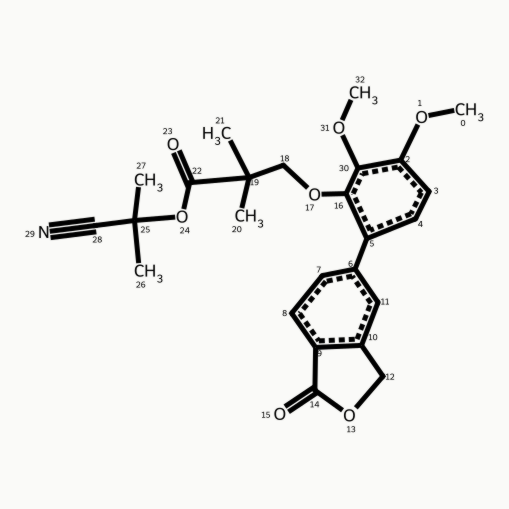 COc1ccc(-c2ccc3c(c2)COC3=O)c(OCC(C)(C)C(=O)OC(C)(C)C#N)c1OC